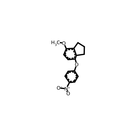 COc1ccc(Oc2ccc([N+](=O)[O-])cc2)c2c1CCC2